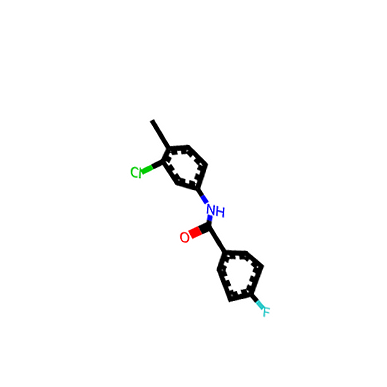 Cc1ccc(NC(=O)c2ccc(F)cc2)cc1Cl